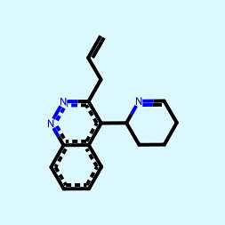 C=CCc1nnc2ccccc2c1C1CCCC=N1